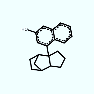 Oc1cc(C23CCCC2C2CCC3C2)c2ccccc2c1